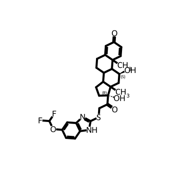 CC12C=CC(=O)C=C1CCC1C2[C@@H](O)CC2(C)C1CC[C@]2(O)C(=O)CSc1nc2cc(OC(F)F)ccc2[nH]1